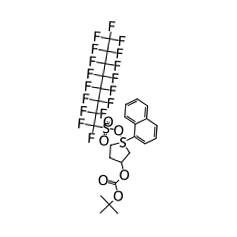 CC(C)(C)OC(=O)OC1CCS(OS(=O)(=O)C(F)(F)C(F)(F)C(F)(F)C(F)(F)C(F)(F)C(F)(F)C(F)(F)C(F)(F)F)(c2cccc3ccccc23)C1